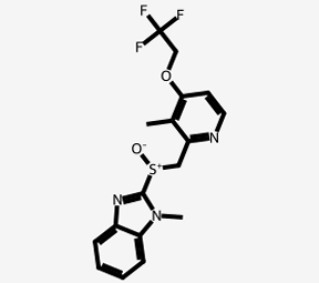 Cc1c(OCC(F)(F)F)ccnc1C[S+]([O-])c1nc2ccccc2n1C